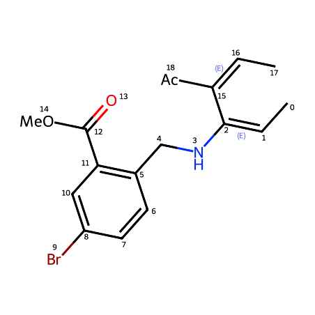 C/C=C(NCc1ccc(Br)cc1C(=O)OC)\C(=C/C)C(C)=O